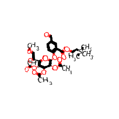 COCC(=O)[C@H]1O[C@@H](Oc2ccc(C=O)cc2C(=O)OCC[Si](C)(C)C)[C@H](OC(C)=O)[C@@H](OC(C)=O)[C@@H]1OC(C)=O